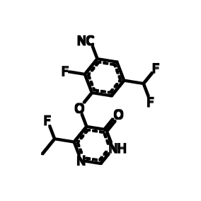 CC(F)c1nc[nH]c(=O)c1Oc1cc(C(F)F)cc(C#N)c1F